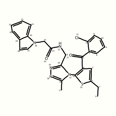 CCc1cc(C(=O)c2ccccc2Cl)c(-n2c(C)nnc2CNC(=O)Cn2ccc3ccccc32)s1